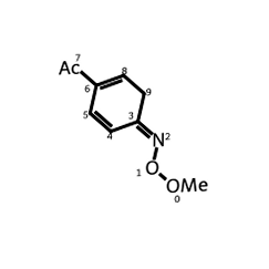 COON=C1C=CC(C(C)=O)=CC1